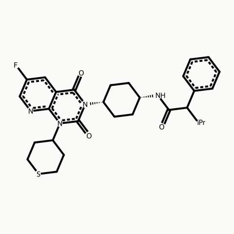 CC(C)C(C(=O)N[C@H]1CC[C@@H](n2c(=O)c3cc(F)cnc3n(C3CCSCC3)c2=O)CC1)c1ccccc1